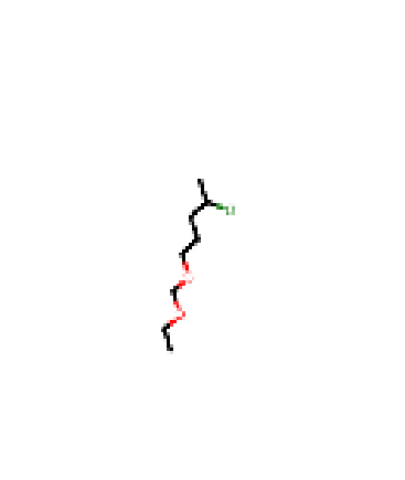 CCOCOCCCC(C)Cl